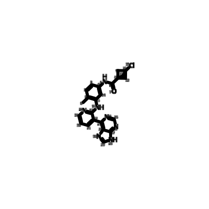 Cc1ccc(NC(=O)C23CC(Cl)(C2)C3)cc1Nc1ncccc1-c1ncnc2[nH]cnc12